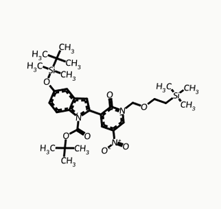 CC(C)(C)OC(=O)n1c(-c2cc([N+](=O)[O-])cn(COCC[Si](C)(C)C)c2=O)cc2cc(O[Si](C)(C)C(C)(C)C)ccc21